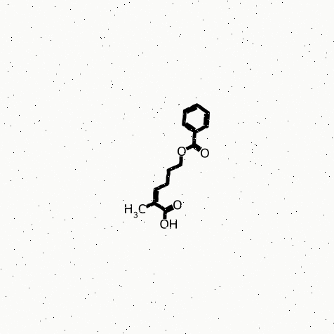 CC(=CCCCOC(=O)c1ccccc1)C(=O)O